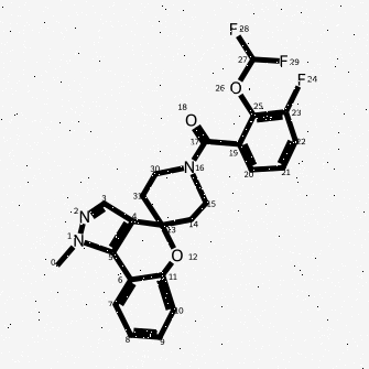 Cn1ncc2c1-c1ccccc1OC21CCN(C(=O)c2cccc(F)c2OC(F)F)CC1